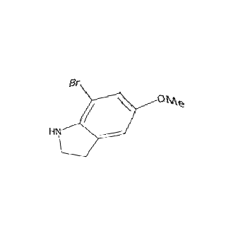 COc1cc(Br)c2c(c1)CCN2